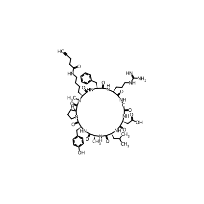 C#CCCC(=O)NCCCC[C@H]1C(=O)N[C@@H](Cc2ccccc2)C(=O)N[C@@H](CCCNC(=N)N)C(=O)NCC(=O)N[C@@H](CC(=O)O)C(=O)N[C@@H](CC(C)C)C(=O)N[C@@H](C)C(=O)N[C@@H](Cc2ccc(O)cc2)C(=O)N2CCC[C@@H]2C(=O)N1C